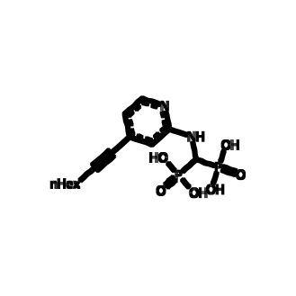 CCCCCCC#Cc1ccnc(NC(P(=O)(O)O)P(=O)(O)O)c1